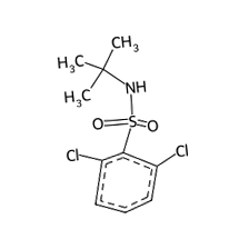 CC(C)(C)NS(=O)(=O)c1c(Cl)cccc1Cl